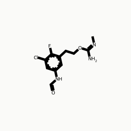 C/N=C(/N)OCCc1cc(NC=O)cc(Cl)c1F